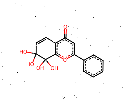 O=c1cc(-c2ccccc2)oc2c1C=CC(O)(O)C2(O)O